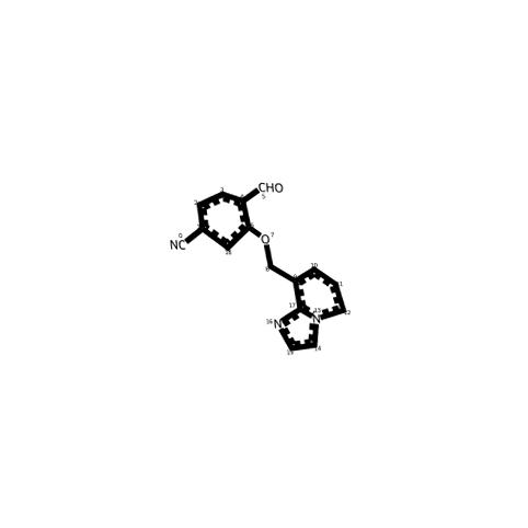 N#Cc1ccc(C=O)c(OCc2cccn3ccnc23)c1